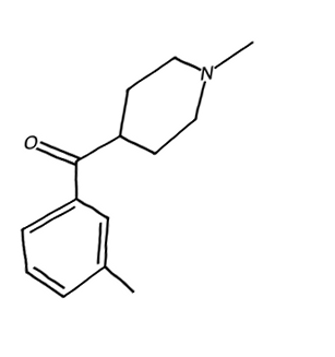 Cc1cccc(C(=O)C2CCN(C)CC2)c1